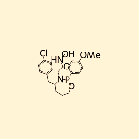 COc1ccc(P2OCCCC(Cc3ccc(Cl)cc3)N2CC(=O)NO)cc1